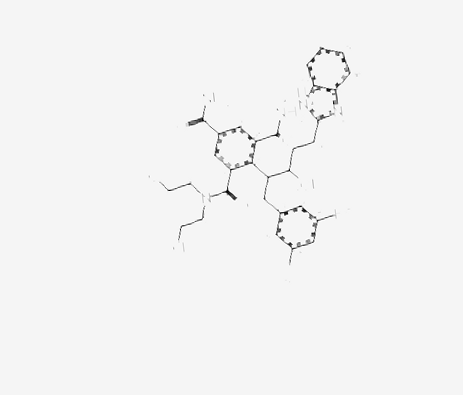 CCCN(CCC)C(=O)c1cc(C(N)=O)cc(C(N)=O)c1C(Cc1cc(F)cc(F)c1)C(O)CCc1nc2ccccc2[nH]1